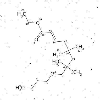 CCCCOCC(C)(C)CC(C)(C)C/C=C/C(=O)OCC